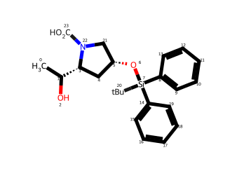 CC(O)[C@H]1C[C@@H](O[Si](c2ccccc2)(c2ccccc2)C(C)(C)C)CN1C(=O)O